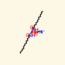 CCCCCCCCCCCCCC(=O)NCC(CNC(=O)CCCCCCCCCCCCC)OP(=O)([O-])OCC[N+](C)(C)C